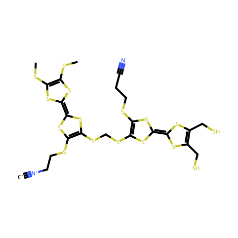 [C-]#[N+]CCSC1=C(SCSC2=C(SCCC#N)SC(=C3SC(CS)=C(CS)S3)S2)SC(=C2SC(SC)=C(SC)S2)S1